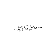 CCCCCCN=Cc1ccc(OCc2ccc(C)cc2)cc1